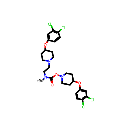 CC(C)(C)N(CCN1CCC(Oc2ccc(Cl)c(Cl)c2)CC1)C(=O)ON1CCC(Oc2ccc(Cl)c(Cl)c2)CC1